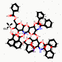 CC(C)(C)[Si](C)(C)OC1C(COC(=O)c2ccccc2)OC(OC2C(COC(=O)c3ccccc3)OC(OC3C(COC(=O)c4ccccc4)OC(I)C(NC(=O)c4ccccc4C=O)C3OC(=O)c3ccccc3)C(NC(=O)c3ccccc3C=O)C2OC(=O)c2ccccc2)C(N)C1OC(=O)c1ccccc1